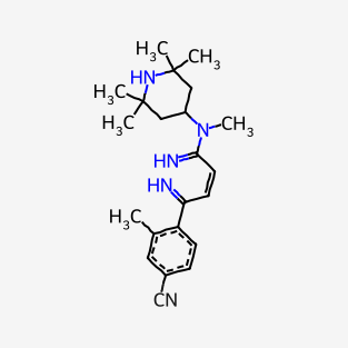 Cc1cc(C#N)ccc1C(=N)/C=C\C(=N)N(C)C1CC(C)(C)NC(C)(C)C1